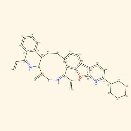 C=CC1=NC2C(=C)C/N=C(/C=C)c3c(ccc4c3oc3nc(C5CCCCC5)ccc34)CCC2c2ccccc21